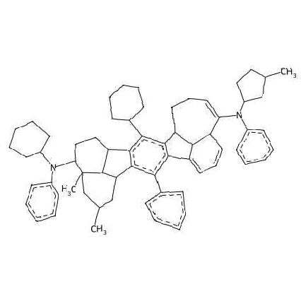 CC1CCC(N(C2=CCCC3c4c(c(-c5ccccc5)c5c(c4C4CCCCC4)C4CCC(N(c6ccccc6)C6CCCCC6)C6(C)CC(C)CC5C46)C4=CC=CC2C43)c2ccccc2)C1